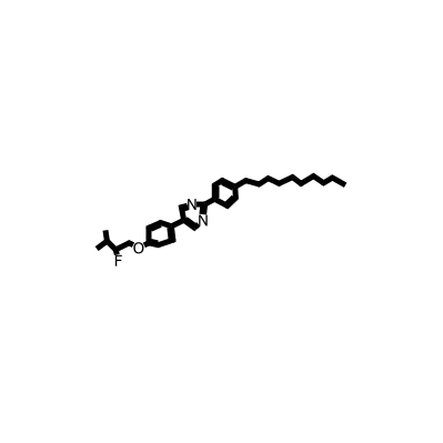 CCCCCCCCCCc1ccc(-c2ncc(-c3ccc(OCC(F)C(C)C)cc3)cn2)cc1